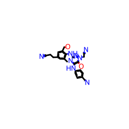 Cc1cc(CCC#N)cc(C=O)c1Nc1nc(Nc2ccc(C#N)cc2)c(=O)n(CC#N)n1